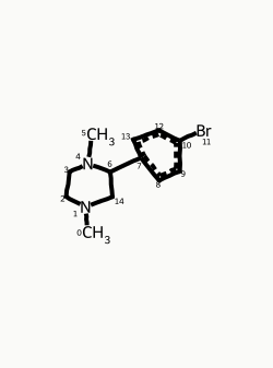 CN1CCN(C)C(c2ccc(Br)cc2)C1